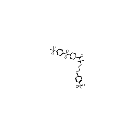 CC(C)(CCCOc1ccc(S(C)(=O)=O)cc1)C(=O)N1CCN(S(=O)(=O)c2ccc(S(C)(=O)=O)cc2)CC1